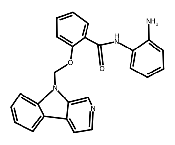 Nc1ccccc1NC(=O)c1ccccc1OCn1c2ccccc2c2ccncc21